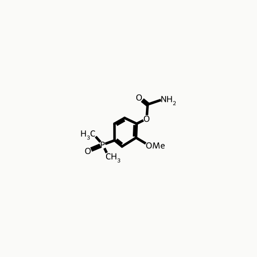 COc1cc(P(C)(C)=O)ccc1OC(N)=O